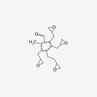 Cc1c([C]=O)c(CC2CO2)c(CC2CO2)c(CCC2CO2)c1CC1CO1